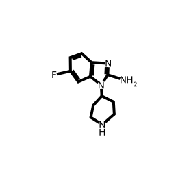 Nc1nc2ccc(F)cc2n1C1CCNCC1